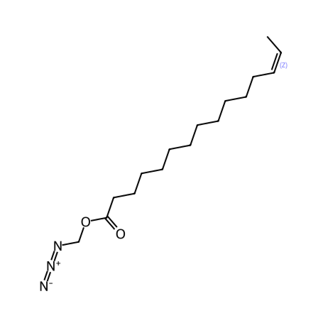 C/C=C\CCCCCCCCCCCC(=O)OCN=[N+]=[N-]